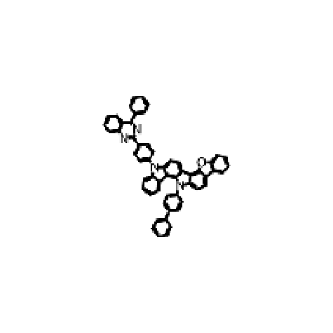 c1ccc(-c2ccc(-n3c4ccc5c6ccccc6oc5c4c4ccc5c(c6ccccc6n5-c5ccc(-c6nc(-c7ccccc7)c7ccccc7n6)cc5)c43)cc2)cc1